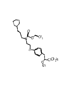 CCOC(Cc1ccc(OCCN(CCCC2CCCCC2)C(=O)OCC(F)(F)F)cc1)C(=O)O